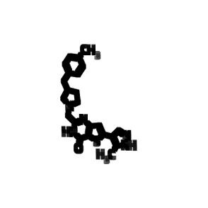 Cc1ccc(CC2CCN(Cc3nc4cc(-c5cn[nH]c5C)sc4c(=O)[nH]3)C2)cc1